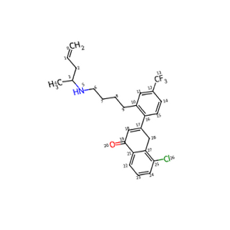 C=CCC(C)NCCCCc1cc(C(F)(F)F)ccc1C1=CC(=O)c2cccc(Cl)c2C1